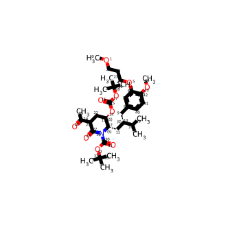 COCCCOc1cc(C[C@@H](C[C@H]2[C@@H](OC(=O)OC(C)(C)C)CC(C(C)=O)C(=O)N2C(=O)OC(C)(C)C)C(C)C)ccc1OC